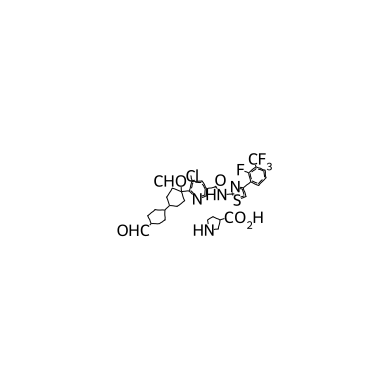 O=C(O)C1CCNC1.O=CC1CCC(C2CCC(C=O)(c3ncc(C(=O)Nc4nc(-c5cccc(C(F)(F)F)c5F)cs4)cc3Cl)CC2)CC1